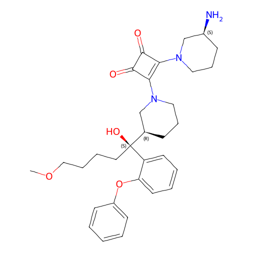 COCCCC[C@@](O)(c1ccccc1Oc1ccccc1)[C@@H]1CCCN(c2c(N3CCC[C@H](N)C3)c(=O)c2=O)C1